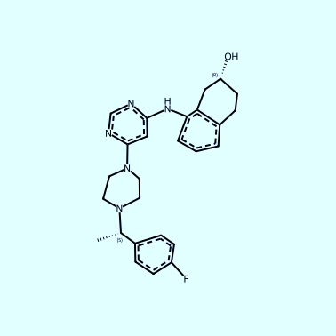 C[C@@H](c1ccc(F)cc1)N1CCN(c2cc(Nc3cccc4c3C[C@H](O)CC4)ncn2)CC1